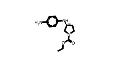 CCOC(=O)N1CC[C@H](Nc2ccc(N)cc2)C1